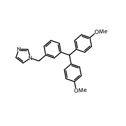 COc1ccc([C](c2ccc(OC)cc2)c2cccc(Cn3ccnc3)c2)cc1